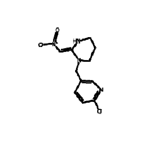 O=[N+]([O-])C=C1NCCCN1Cc1ccc(Cl)nc1